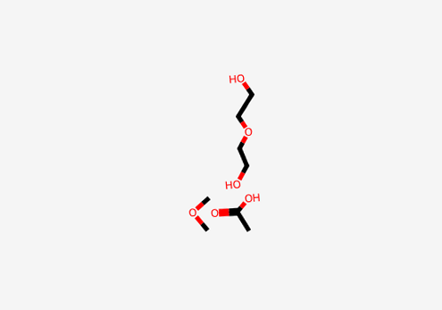 CC(=O)O.COC.OCCOCCO